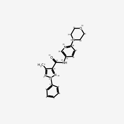 Cc1nn(-c2ccccc2)nc1C(=O)Nc1ccc(N2CCOCC2)nc1